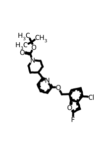 CC(C)(C)OC(=O)N1CCC(c2cccc(OCc3ccc(Cl)c4cc(F)oc34)n2)CC1